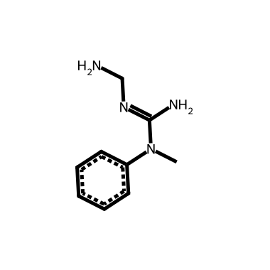 CN(C(N)=NCN)c1ccccc1